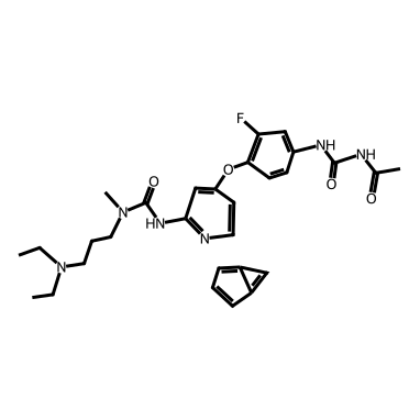 CCN(CC)CCCN(C)C(=O)Nc1cc(Oc2ccc(NC(=O)NC(C)=O)cc2F)ccn1.c1cc2cc-2c1